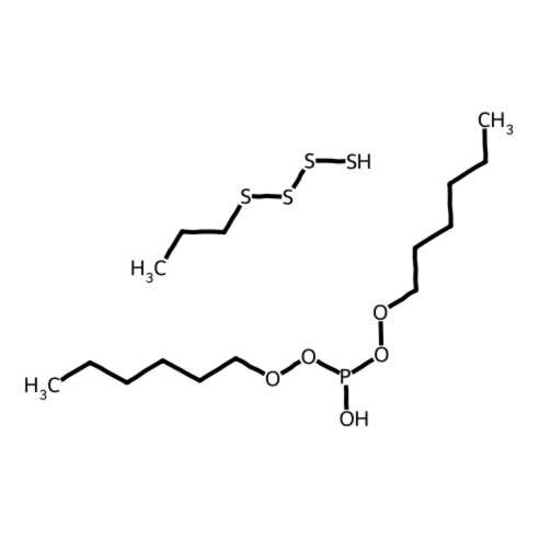 CCCCCCOOP(O)OOCCCCCC.CCCSSSS